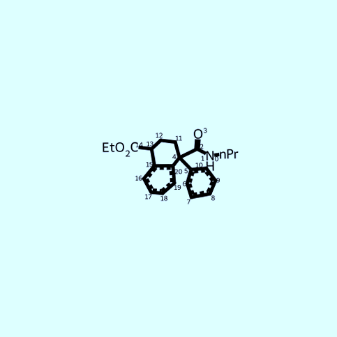 CCCNC(=O)C1(c2ccccc2)CCC(C(=O)OCC)c2ccccc21